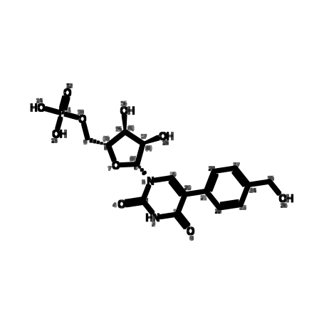 O=c1[nH]c(=O)n([C@@H]2O[C@H](COP(=O)(O)O)[C@@H](O)[C@H]2O)cc1-c1ccc(CO)cc1